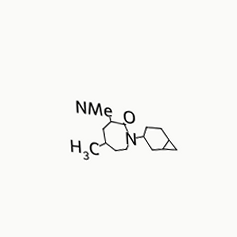 CNC1CC(C)CCN(C2CCC3CC3C2)C1=O